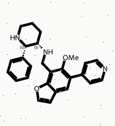 COc1c(-c2ccncc2)cc2ccoc2c1CN[C@H]1CCCN[C@H]1c1ccccc1